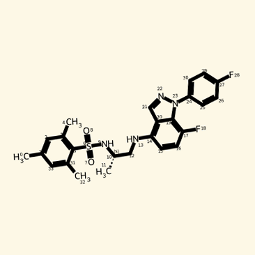 Cc1cc(C)c(S(=O)(=O)N[C@@H](C)CNc2ccc(F)c3c2cnn3-c2ccc(F)cc2)c(C)c1